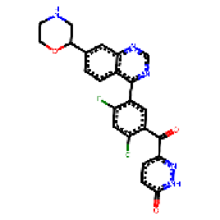 O=C(c1ccc(=O)[nH]n1)c1cc(-c2ncnc3cc(C4CNCCO4)ccc23)c(F)cc1Cl